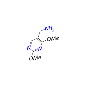 COc1ncc(CN)c(OC)n1